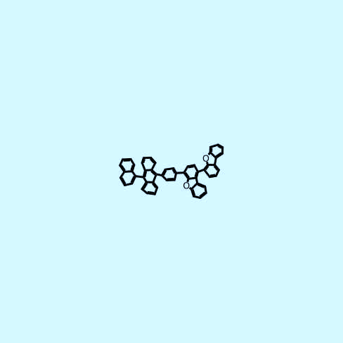 c1ccc2c(-c3c4ccccc4c(-c4ccc(-c5ccc(-c6cccc7c6oc6ccccc67)c6c5oc5ccccc56)cc4)c4ccccc34)cccc2c1